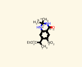 CCOC(=O)C(C)c1cc2c(cc1[N+](=O)[O-])C(=O)NC(C)(C)N2